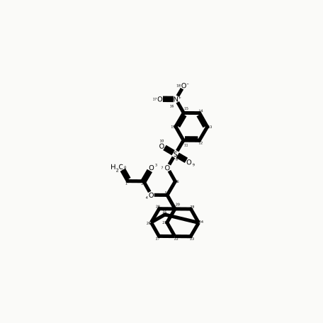 C=CC(=O)OC(COS(=O)(=O)c1cccc([N+](=O)[O-])c1)C12CC3CC(CC(C3)C1)C2